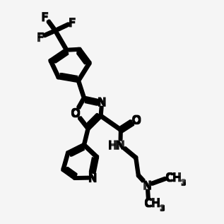 CN(C)CCNC(=O)c1nc(-c2ccc(C(F)(F)F)cc2)oc1-c1cccnc1